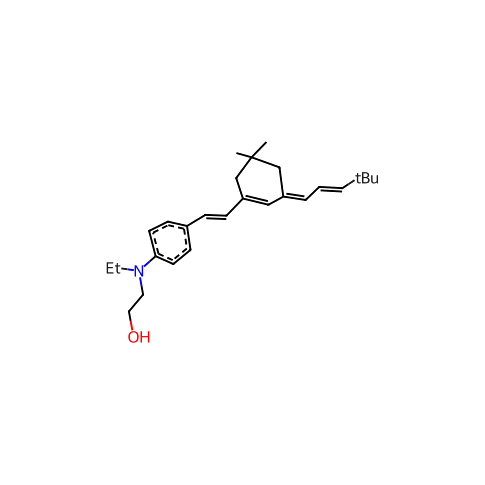 CCN(CCO)c1ccc(/C=C/C2=CC(=C/C=C/C(C)(C)C)/CC(C)(C)C2)cc1